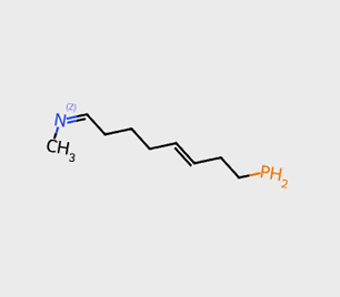 C/N=C\CCCC=CCCP